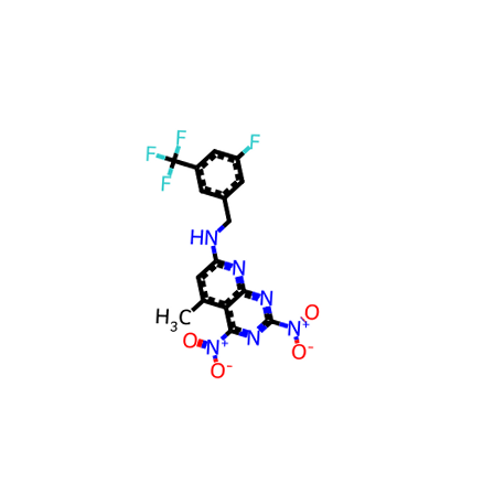 Cc1cc(NCc2cc(F)cc(C(F)(F)F)c2)nc2nc([N+](=O)[O-])nc([N+](=O)[O-])c12